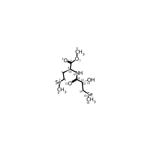 COC(=O)[C@H](CC[Se]C)NC(=O)[C@H](O)C[Se]C